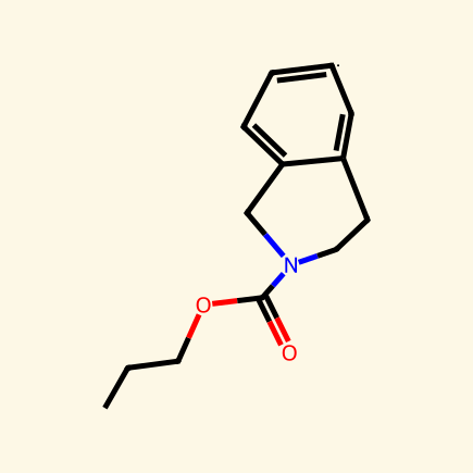 CCCOC(=O)N1CCc2c[c]ccc2C1